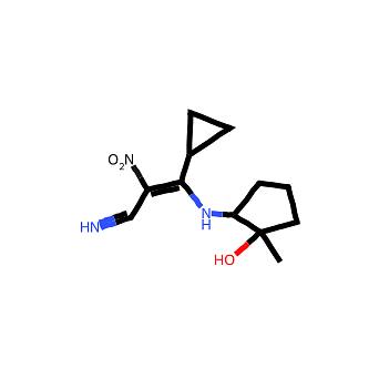 CC1(O)CCCC1N/C(=C(\C=N)[N+](=O)[O-])C1CC1